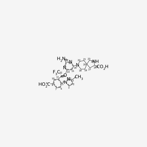 Cc1ccn(-c2ccc(C(=O)O)cc2[C@@H](Oc2cc(N3CCC4(CC3)CNC(C(=O)O)C4)nc(N)n2)C(F)(F)F)n1